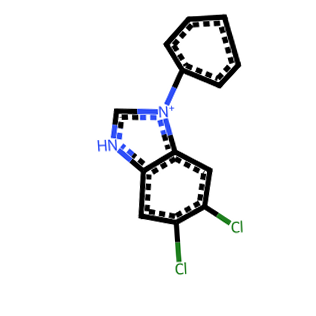 Clc1cc2[nH]c[n+](-c3ccccc3)c2cc1Cl